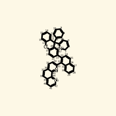 C1=CCNC(C2(c3ccccc3)c3ccccc3Oc3ccc(-c4ccc5ccccc5c4-c4ccc5ccc6cccnc6c5n4)cc32)=C1